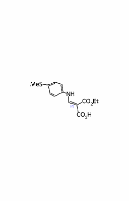 CCOC(=O)/C(=C\Nc1ccc(SC)cc1)C(=O)O